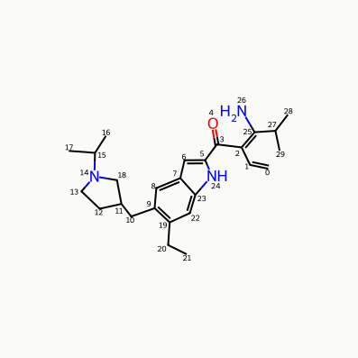 C=C/C(C(=O)c1cc2cc(CC3CCN(C(C)C)C3)c(CC)cc2[nH]1)=C(/N)C(C)C